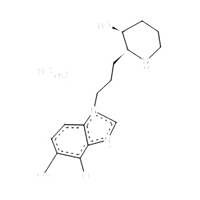 Cl.Cl.O[C@H]1CCCN[C@H]1CCCn1cnc2c(Cl)c(Cl)ccc21